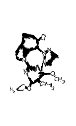 COc1nc(-n2ccc3ccc(Cl)c(-n4nccn4)c32)nc(OC)c1C